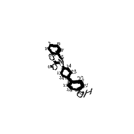 COC(=O)N(Cc1ccccc1)C1CCC(c2ccc(O)cc2)CC1